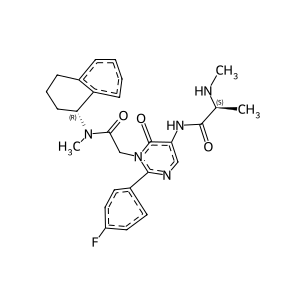 CN[C@@H](C)C(=O)Nc1cnc(-c2ccc(F)cc2)n(CC(=O)N(C)[C@@H]2CCCc3ccccc32)c1=O